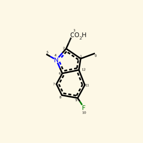 Cc1c(C(=O)O)n(C)c2ccc(F)cc12